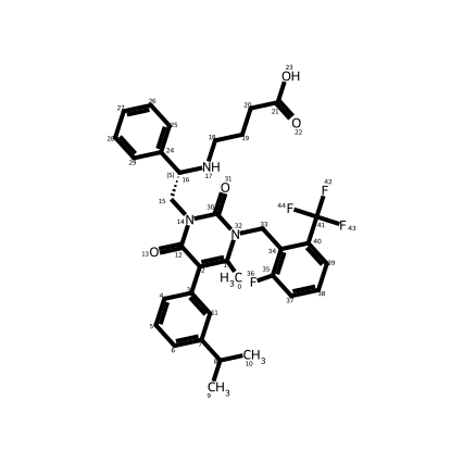 Cc1c(-c2cccc(C(C)C)c2)c(=O)n(C[C@@H](NCCCC(=O)O)c2ccccc2)c(=O)n1Cc1c(F)cccc1C(F)(F)F